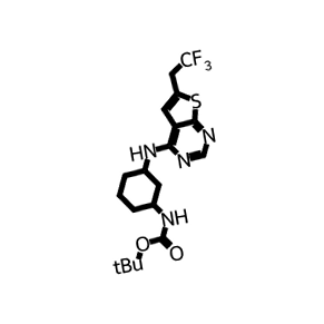 CC(C)(C)OC(=O)NC1CCCC(Nc2ncnc3sc(CC(F)(F)F)cc23)C1